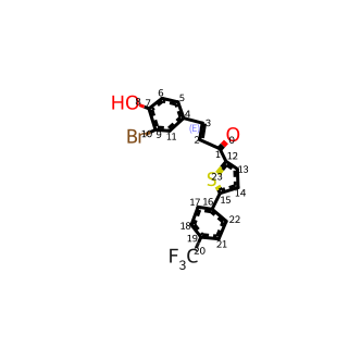 O=C(/C=C/c1ccc(O)c(Br)c1)c1ccc(-c2ccc(C(F)(F)F)cc2)s1